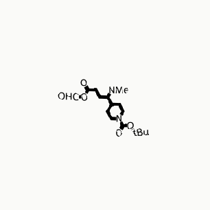 CNC(CCC(=O)OC=O)C1CCN(C(=O)OC(C)(C)C)CC1